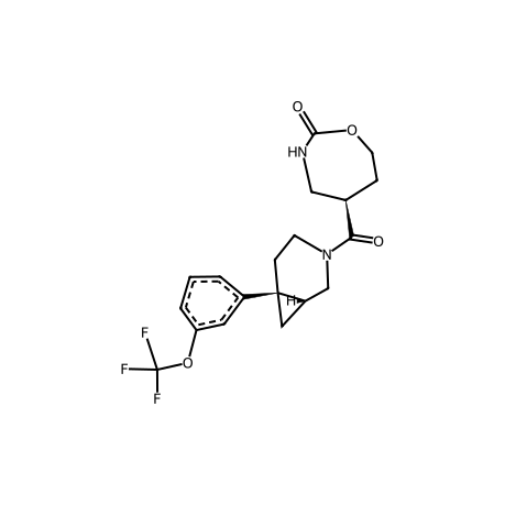 O=C1NC[C@H](C(=O)N2CC[C@@]3(c4cccc(OC(F)(F)F)c4)C[C@H]3C2)CCO1